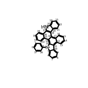 c1ccc(-n2c3ccccc3c3c4ccccc4c4c5c6ccccc6[nH]c5c5ccccc5c4c32)cc1